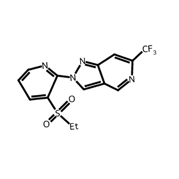 CCS(=O)(=O)c1cccnc1-n1cc2cnc(C(F)(F)F)cc2n1